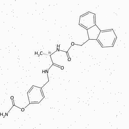 C[C@H](NC(=O)OCC1c2ccccc2-c2ccccc21)C(=O)NCc1ccc(OC(N)=O)cc1